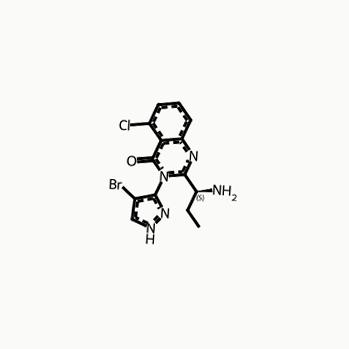 CC[C@H](N)c1nc2cccc(Cl)c2c(=O)n1-c1n[nH]cc1Br